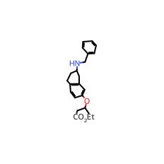 CCOC(=O)CC(C)Oc1ccc2c(c1)CC(NCc1ccccc1)CC2